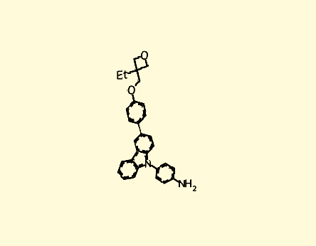 CCC1(COc2ccc(-c3ccc4c(c3)c3ccccc3n4-c3ccc(N)cc3)cc2)COC1